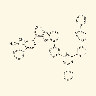 CC1(C)c2ccccc2-c2ccc(-c3cccc4c3sc3c(-c5cccc(-c6nc(-c7ccccc7)nc(-c7cccc(-c8ccc(-c9ccccc9)cc8)c7)n6)c5)cccc34)cc21